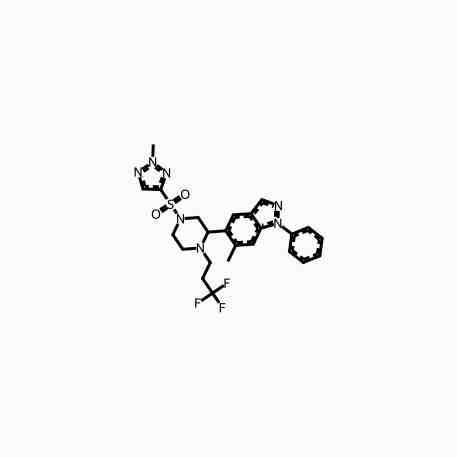 Cc1cc2c(cnn2-c2ccccc2)cc1C1CN(S(=O)(=O)c2cnn(C)n2)CCN1CCC(F)(F)F